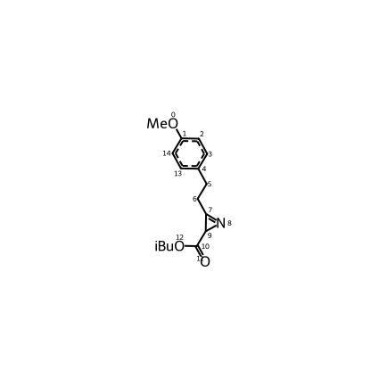 COc1ccc(CCC2=NC2C(=O)OCC(C)C)cc1